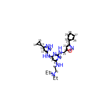 CCN(CC)CCNc1cc(Nc2cc(C3CC3)[nH]n2)nc(NCc2cc(-c3ccccc3)no2)n1